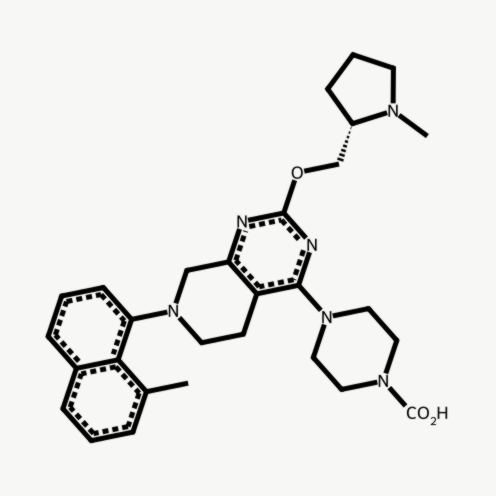 Cc1cccc2cccc(N3CCc4c(nc(OC[C@@H]5CCCN5C)nc4N4CCN(C(=O)O)CC4)C3)c12